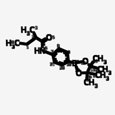 CCC(C)C(=O)Nc1ccc(B2OC(C)(C)C(C)(C)O2)cc1